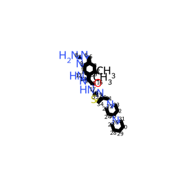 CC1(C)Cc2cnc(N)nc2-c2[nH]nc(C(=O)Nc3nc(CN4CCC(N5CCCCC5)CC4)cs3)c21